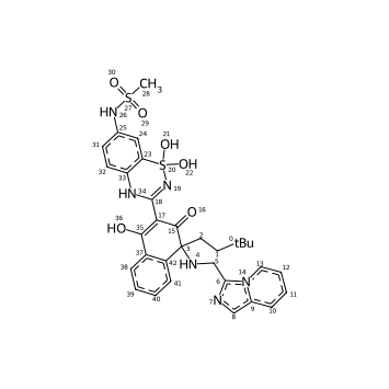 CC(C)(C)CCC1(NCc2ncc3ccccn23)C(=O)C(C2=NS(O)(O)c3cc(NS(C)(=O)=O)ccc3N2)=C(O)c2ccccc21